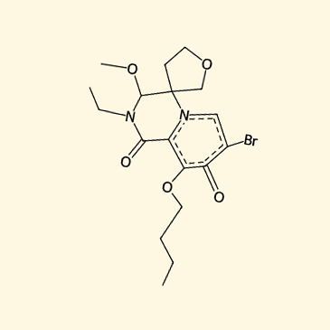 CCCCOc1c2n(cc(Br)c1=O)C1(CCOC1)C(OC)N(CC)C2=O